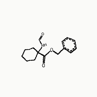 O=CNC1(C(=O)OCc2ccccc2)CCCCC1